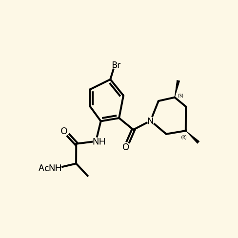 CC(=O)NC(C)C(=O)Nc1ccc(Br)cc1C(=O)N1C[C@H](C)C[C@H](C)C1